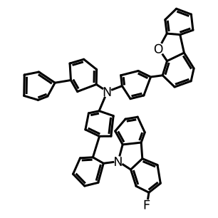 Fc1ccc2c3ccccc3n(-c3ccccc3-c3ccc(N(c4ccc(-c5cccc6c5oc5ccccc56)cc4)c4cccc(-c5ccccc5)c4)cc3)c2c1